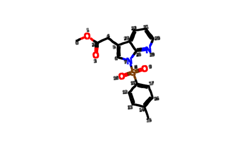 COC(=O)Cc1cn(S(=O)(=O)c2ccc(C)cc2)c2ncccc12